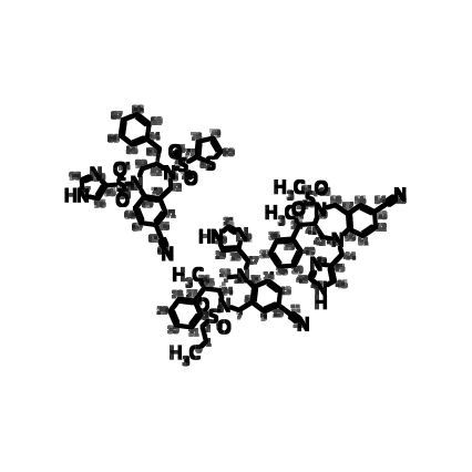 CCCS(=O)(=O)N1Cc2cc(C#N)ccc2N(Cc2c[nH]cn2)C[C@H]1[C@H](C)c1ccccc1.C[C@H](c1ccccc1)[C@@H]1CN(Cc2c[nH]cn2)c2ccc(C#N)cc2CN1S(C)(=O)=O.N#Cc1ccc2c(c1)CN(S(=O)(=O)c1cccs1)[C@H](Cc1ccccc1)CN2S(=O)(=O)c1c[nH]cn1